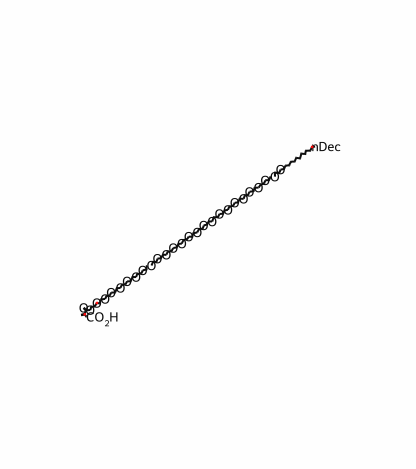 C=C(CC(=O)O)C(=O)OCCOCCOCCOCCOCCOCCOCCOCCOCCOCCOCCOCCOCCOCCOCCOCCOCCOCCOCCOCCOCCOCCOCCOCCOCCOCCCCCCCCCCCCCCCCCCCCCC